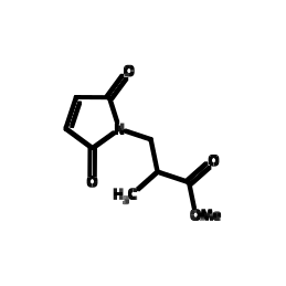 COC(=O)C(C)CN1C(=O)C=CC1=O